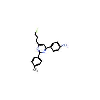 Nc1ccc(-c2cc(CCCF)nc(-c3ccc(C(F)(F)F)cc3)n2)cc1